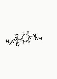 N=Nc1ccc(S(N)(=O)=O)cc1